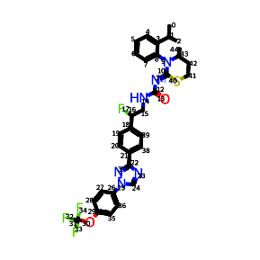 CC(C)c1ccccc1N1/C(=N/C(=O)NCC(F)c2ccc(-c3ncn(-c4ccc(OC(F)(F)F)cc4)n3)cc2)SCCC1C